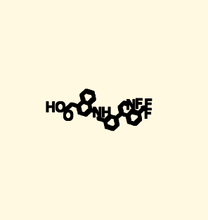 O=C(O)Cc1ccc(NCc2cccc(-c3ccnc4c(C(F)(F)F)cccc34)c2)c2ccccc12